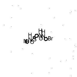 O=C(Nc1cccc(Br)c1)Nc1ccc2cc(C(=O)NC3CN4CCC3CC4)sc2c1